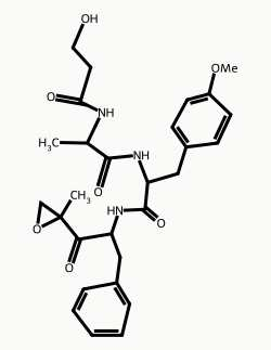 COc1ccc(CC(NC(=O)C(C)NC(=O)CCO)C(=O)NC(Cc2ccccc2)C(=O)C2(C)CO2)cc1